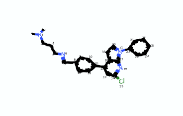 CN(C)CCCN=Cc1ccc(-c2cc(Cl)nc3c2ccn3-c2ccccc2)cc1